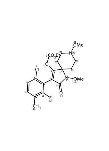 CCOC(=O)OC1=C(c2c(Cl)ccc(C)c2F)C(=O)N(OC)C12CCN(OC)CC2